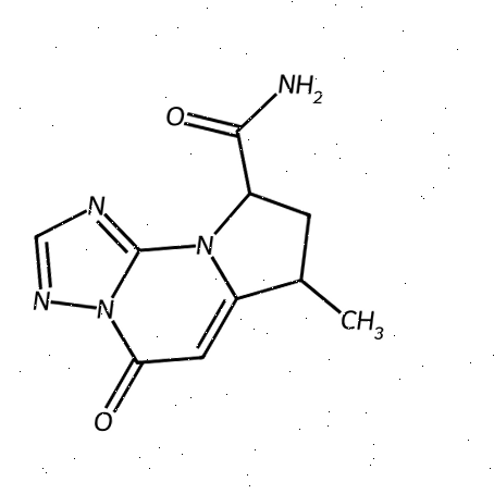 CC1CC(C(N)=O)n2c1cc(=O)n1ncnc21